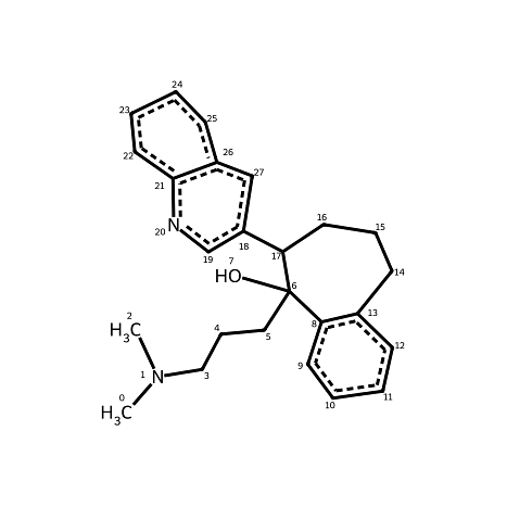 CN(C)CCCC1(O)c2ccccc2CCCC1c1cnc2ccccc2c1